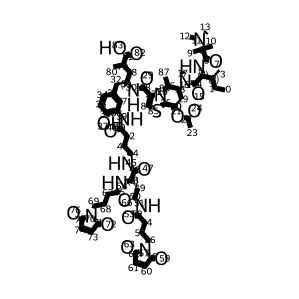 CC[C@H](C)[C@@H](NC(=O)C(C)(C)N(C)C)C(=O)N(C)C(C[C@@H](OC(C)=O)c1nc(C(=O)N[C@@H](Cc2ccc(O)c(NC(=O)CCCNC(=O)[C@H](CCNC(=O)CCCN3C(=O)C=CC3=O)NC(=O)CCCN3C(=O)C=CC3=O)c2)CC(C)C(=O)O)cs1)C(C)C